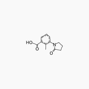 Cc1c(C(=O)O)cccc1N1CCCC1=O